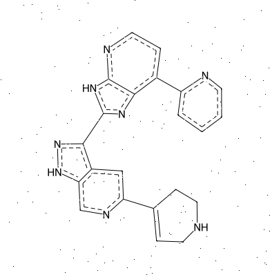 C1=C(c2cc3c(-c4nc5c(-c6ccccn6)ccnc5[nH]4)n[nH]c3cn2)CCNC1